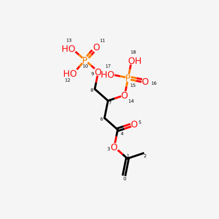 C=C(C)OC(=O)CC(COP(=O)(O)O)OP(=O)(O)O